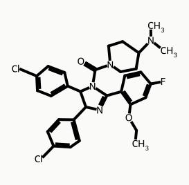 CCOc1cc(F)ccc1C1=NC(c2ccc(Cl)cc2)C(c2ccc(Cl)cc2)N1C(=O)N1CCC(N(C)C)CC1